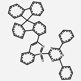 O=S1(c2nc(-c3ccccc3)nc(-c3ccccc3)n2)=NC(c2cccc3c2-c2ccccc2C32c3ccccc3-c3ccccc32)=Cc2ccccc21